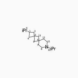 CC(C)C1CC2(C1)CC1(CCN(C(C)C)CC1)C2